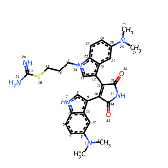 CN(C)c1ccc2[nH]cc(C3=C(c4cn(CCCSC(=N)N)c5ccc(N(C)C)cc45)C(=O)NC3=O)c2c1